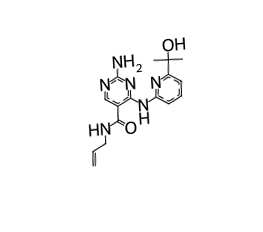 C=CCNC(=O)c1cnc(N)nc1Nc1cccc(C(C)(C)O)n1